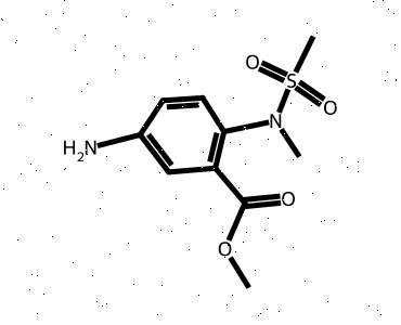 COC(=O)c1cc(N)ccc1N(C)S(C)(=O)=O